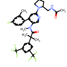 CC(=O)NCC1CCCN1c1cc(-c2ccc(F)cc2C)c(N(C)C(=O)C(C)(C)c2cc(C(F)(F)F)cc(C(F)(F)F)c2)cn1